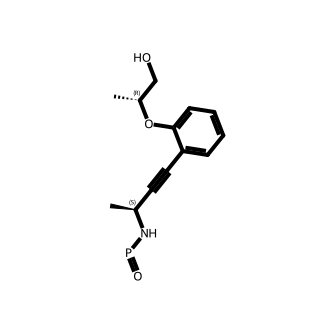 C[C@H](CO)Oc1ccccc1C#C[C@H](C)NP=O